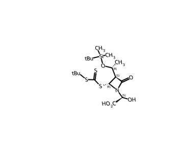 C[C@@H](O[Si](C)(C)C(C)(C)C)[C@H]1C(=O)N([C@@H](O)C(=O)O)[C@@H]1SC(=S)SC(C)(C)C